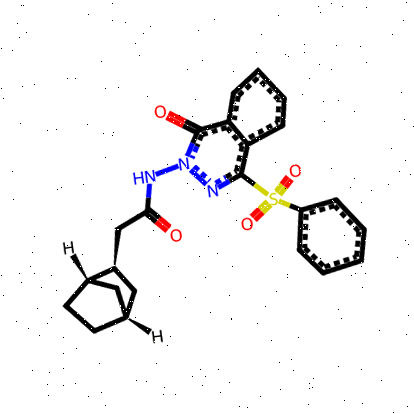 O=C(C[C@H]1C[C@@H]2CC[C@H]1C2)Nn1nc(S(=O)(=O)c2ccccc2)c2ccccc2c1=O